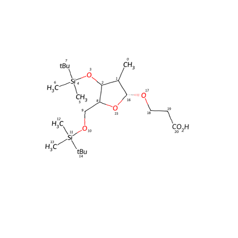 CC1C(O[Si](C)(C)C(C)(C)C)C(CO[Si](C)(C)C(C)(C)C)O[C@H]1OCCC(=O)O